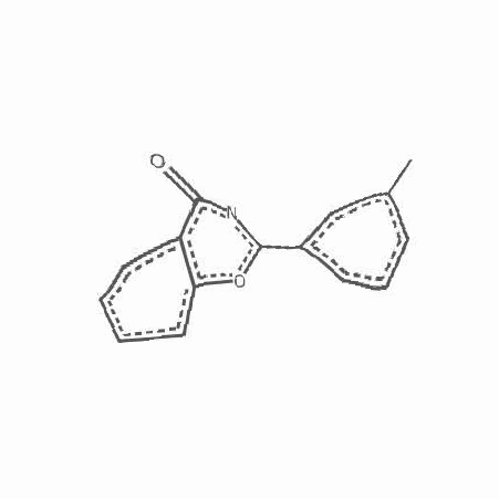 Cc1cccc(-c2nc(=O)c3ccccc3o2)c1